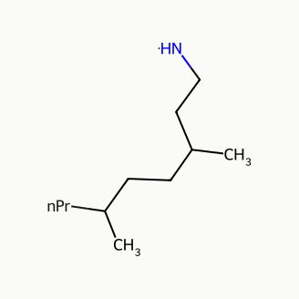 [CH2]CCC(C)CCC(C)CC[NH]